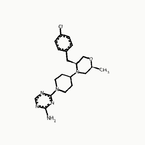 C[C@H]1CN(C2CCN(c3ncnc(N)n3)CC2)[C@@H](Cc2ccc(Cl)cc2)CO1